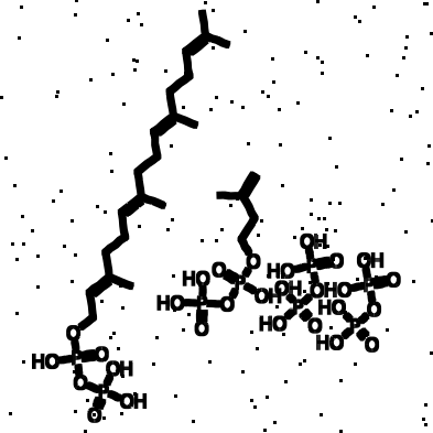 C=C(C)CCOP(=O)(O)OP(=O)(O)O.CC(C)=CCC/C(C)=C/CC/C(C)=C/CC/C(C)=C/COP(=O)(O)OP(=O)(O)O.O=P(O)(O)OP(=O)(O)O.O=P(O)(O)OP(=O)(O)O